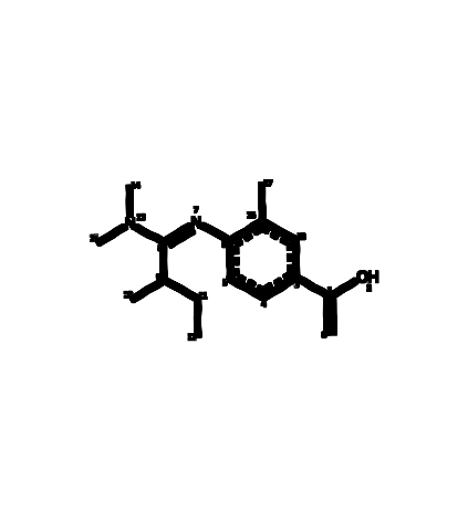 C=C(O)c1ccc(/N=C(\C(C)CC)N(C)C)c(C)c1